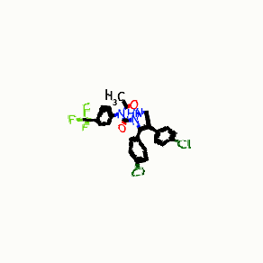 CC(=O)N(C(=O)N1NCC(c2ccc(Cl)cc2)C1c1ccc(Cl)cc1)c1ccc(C(F)(F)F)cc1